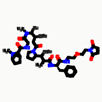 CCC(C)C(C(CC(=O)N1CCCC1C(OC)C(C)C(=O)N[C@@H](Cc1ccccc1)C(=O)NCCOCCN1C(=O)C=CC1=O)OC)N(C)C(=O)CNC(=O)C1C2CCC(C2)N1C